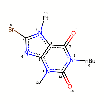 CCCCn1c(=O)c2c(nc(Br)n2CC)n(C)c1=O